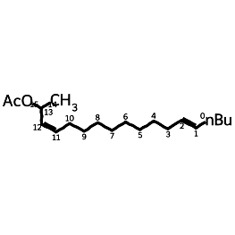 CCCCC=CCCCCCCCC/C=C\C(C)OC(C)=O